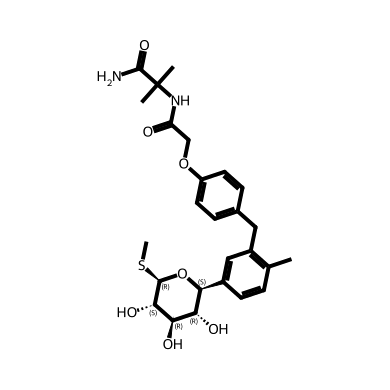 CS[C@H]1O[C@@H](c2ccc(C)c(Cc3ccc(OCC(=O)NC(C)(C)C(N)=O)cc3)c2)[C@H](O)[C@@H](O)[C@@H]1O